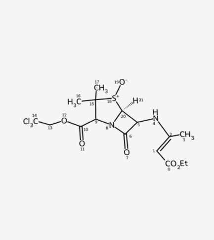 CCOC(=O)C=C(C)NC1C(=O)N2C(C(=O)OCC(Cl)(Cl)Cl)C(C)(C)[S+]([O-])[C@@H]12